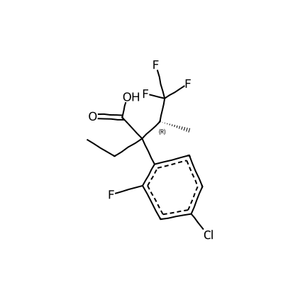 CCC(C(=O)O)(c1ccc(Cl)cc1F)[C@@H](C)C(F)(F)F